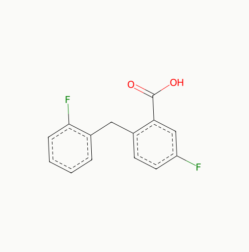 O=C(O)c1cc(F)ccc1Cc1ccccc1F